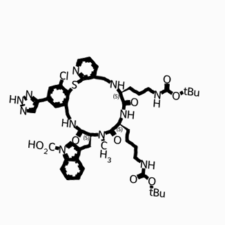 CN1C(=O)[C@H](CCCCNC(=O)OC(C)(C)C)NC(=O)[C@H](CCCNC(=O)OC(C)(C)C)NCc2cccnc2Sc2c(Cl)cc(-c3cn[nH]n3)cc2CNC(=O)[C@@H]1Cc1cn(C(=O)O)c2ccccc12